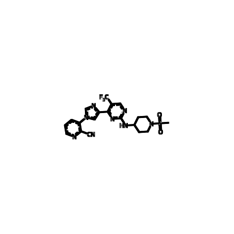 CS(=O)(=O)N1CCC(Nc2ncc(C(F)(F)F)c(-c3cn(-c4cccnc4C#N)cn3)n2)CC1